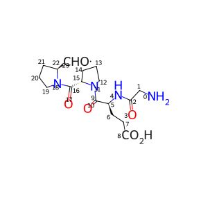 NCC(=O)N[C@@H](CCC(=O)O)C(=O)N1CCC[C@H]1C(=O)N1CCC[C@H]1[C]=O